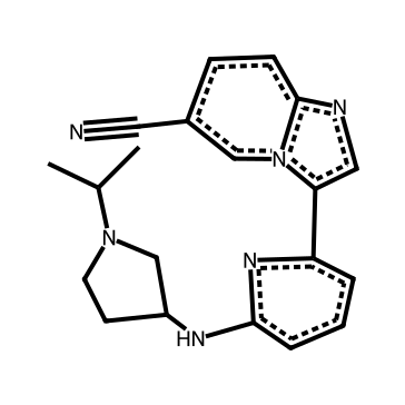 CC(C)N1CCC(Nc2cccc(-c3cnc4ccc(C#N)cn34)n2)C1